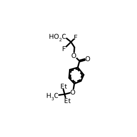 CCC(C)(CC)Oc1ccc(C(=O)OCC(F)(F)C(=O)O)cc1